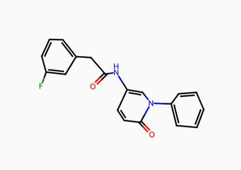 O=C(Cc1cccc(F)c1)Nc1ccc(=O)n(-c2ccccc2)c1